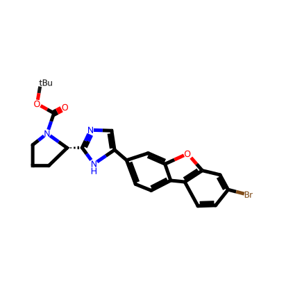 CC(C)(C)OC(=O)N1CCC[C@H]1c1ncc(-c2ccc3c(c2)oc2cc(Br)ccc23)[nH]1